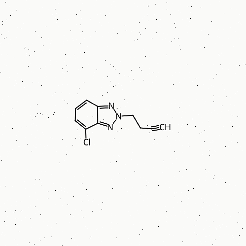 C#CCCn1nc2cccc(Cl)c2n1